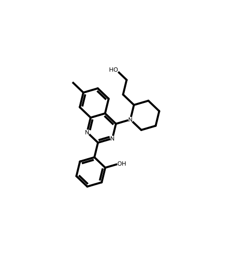 Cc1ccc2c(N3CCCCC3CCO)nc(-c3ccccc3O)nc2c1